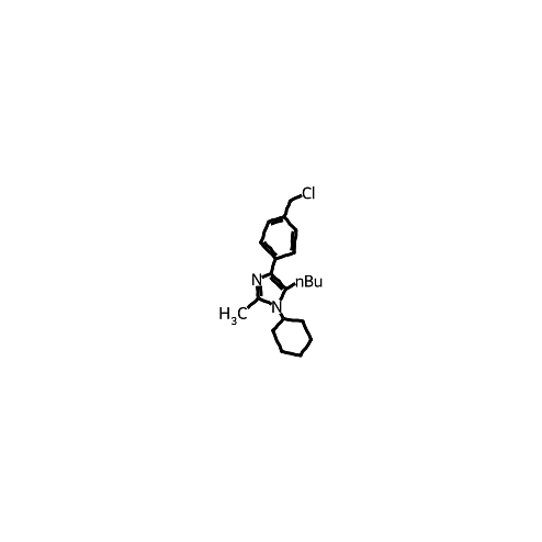 CCCCc1c(-c2ccc(CCl)cc2)nc(C)n1C1CCCCC1